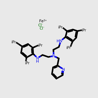 CC(C)c1cc(C(C)C)c(NCCN(CCNc2c(C(C)C)cc(C(C)C)cc2C(C)C)Cc2ccccn2)c(C(C)C)c1.[Cl-].[Cl-].[Fe+2]